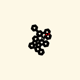 c1ccc(-c2ccc(N(c3ccccc3)c3cc4c(c5ccccc35)-c3c(ccc5ccccc35)C43c4ccccc4-c4ccccc43)c(-c3ccccc3)c2)cc1